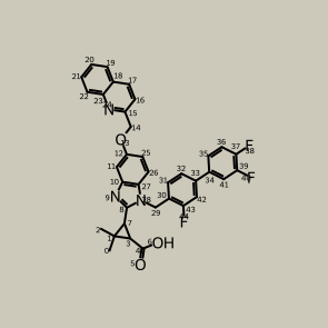 CC1(C)C(C(=O)O)C1c1nc2cc(OCc3ccc4ccccc4n3)ccc2n1Cc1ccc(-c2ccc(F)c(F)c2)cc1F